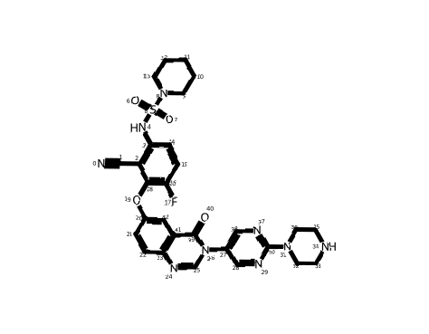 N#Cc1c(NS(=O)(=O)N2CCCCC2)ccc(F)c1Oc1ccc2ncn(-c3cnc(N4CCNCC4)nc3)c(=O)c2c1